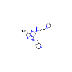 Bc1cnn2c(NCc3cccnc3)cc(NCCCn3cccc3)nc12